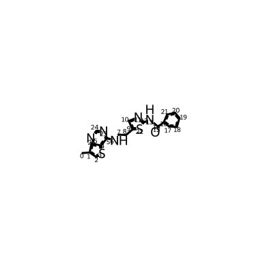 Cc1csc2c(NCCc3cnc(NC(=O)c4ccccc4)s3)ncnc12